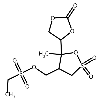 CCS(=O)(=O)OCC1CS(=O)(=O)OC1(C)C1COC(=O)O1